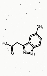 Nc1ccc2[nH]nc(CC(=O)O)c2c1